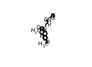 COc1ccc2c(c1)CC[C@H]1[C@@H]3[C@H](CCCC(=O)NCc4ccco4)CC(=O)[C@@]3(C)CC[C@H]21